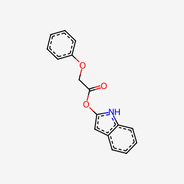 O=C(COc1ccccc1)Oc1cc2ccccc2[nH]1